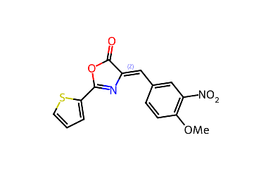 COc1ccc(/C=C2\N=C(c3cccs3)OC2=O)cc1[N+](=O)[O-]